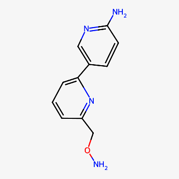 NOCc1cccc(-c2ccc(N)nc2)n1